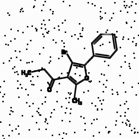 CCC(=O)c1c(C)oc(-c2ccccc2)c1Br